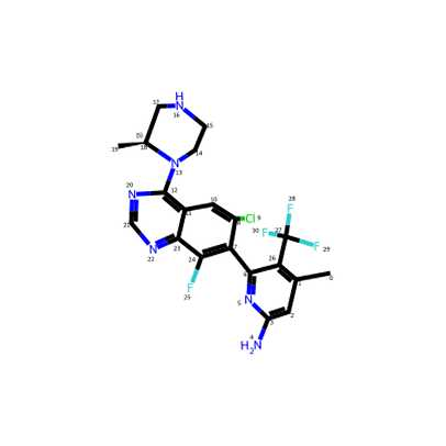 Cc1cc(N)nc(-c2c(Cl)cc3c(N4CCNC[C@@H]4C)ncnc3c2F)c1C(F)(F)F